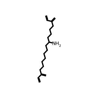 C=CC(=C)CCCCCCCC(N)CCCCC(=C)C=C